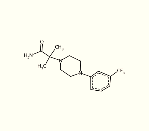 CC(C)(C(N)=O)N1CCN(c2cccc(C(F)(F)F)c2)CC1